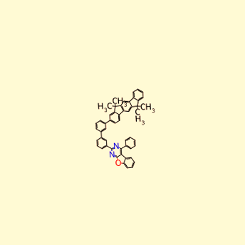 CC1(C)c2ccccc2-c2cc3c(cc21)-c1ccc(-c2cccc(-c4cccc(-c5nc(-c6ccccc6)c6c(n5)oc5ccccc56)c4)c2)cc1C3(C)C